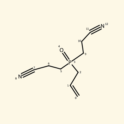 C=CCP(=O)(CCC#N)CCC#N